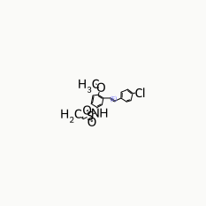 C=CS(=O)(=O)Nc1ccc(OC)c(/C=C/c2ccc(Cl)cc2)c1